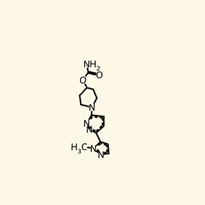 Cn1nccc1-c1ccc(N2CCC(OC(N)=O)CC2)nn1